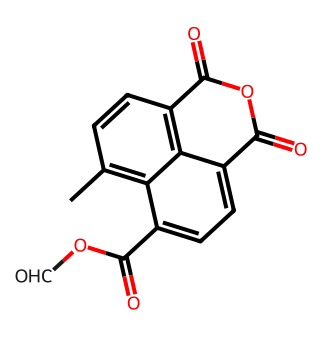 Cc1ccc2c3c(ccc(C(=O)OC=O)c13)C(=O)OC2=O